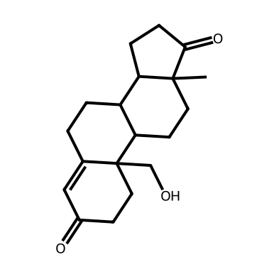 CC12CCC3C(CCC4=CC(=O)CCC43CO)C1CCC2=O